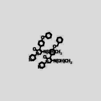 CN(O)C1=C(c2ccc(OCc3ccccc3)cc2)C(=O)N(c2ccncc2)C1.CN(O)C1=C(c2ccc(Oc3ccccc3)cc2)C(=O)N(c2ccncc2)C1